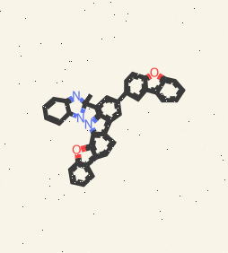 CC12N=C3C=CC=CC3N1n1c3c2cc(-c2ccc4oc5ccccc5c4c2)cc3c2ccc3c4ccccc4oc3c21